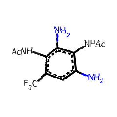 CC(=O)Nc1c(N)cc(C(F)(F)F)c(NC(C)=O)c1N